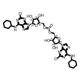 O=[N+](OC[C@H]1O[C@@H](n2cnc3c(NC4CCCCC4)nc(Cl)nc32)[C@H](O)[C@H]1O)OC[C@H]1O[C@@H](n2cnc3c(NC4CCCCC4)nc(Cl)nc32)[C@H](O)[C@H]1O